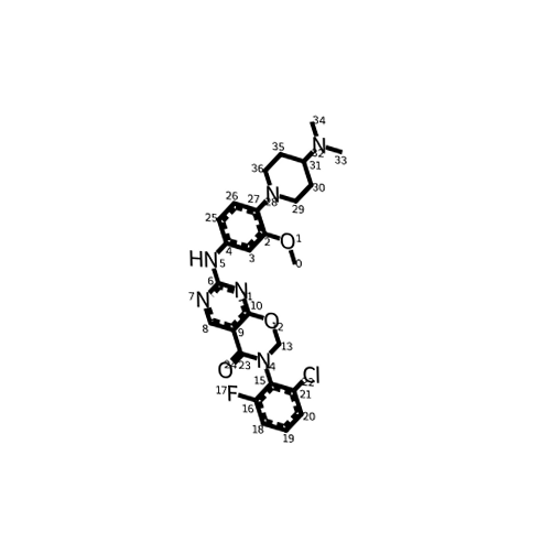 COc1cc(Nc2ncc3c(n2)OCN(c2c(F)cccc2Cl)C3=O)ccc1N1CCC(N(C)C)CC1